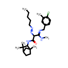 CCCCC/N=N/C(C(=O)NC1C2(C)CCC(C2)C1(C)C)/C(=N/Cc1ccc(Cl)c(C)c1)NC